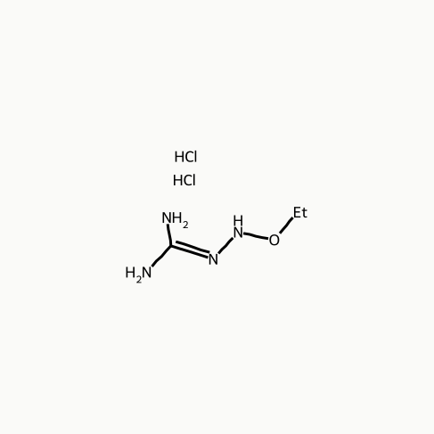 CCONN=C(N)N.Cl.Cl